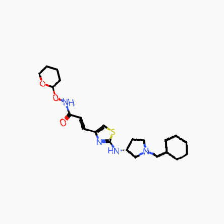 O=C(/C=C/c1csc(N[C@@H]2CCN(CC3CCCCC3)C2)n1)NOC1CCCCO1